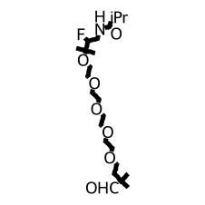 CC(C)C(=O)NCC(F)C(C)(C)OCCOCCOCCOCCOCCC(C)(C)C=O